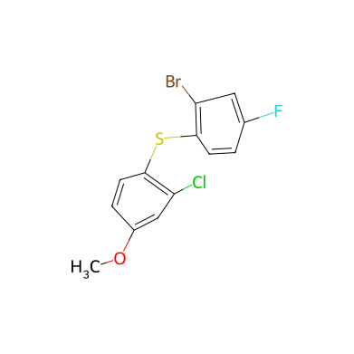 COc1ccc(Sc2ccc(F)cc2Br)c(Cl)c1